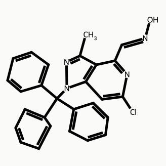 Cc1nn(C(c2ccccc2)(c2ccccc2)c2ccccc2)c2cc(Cl)nc(/C=N/O)c12